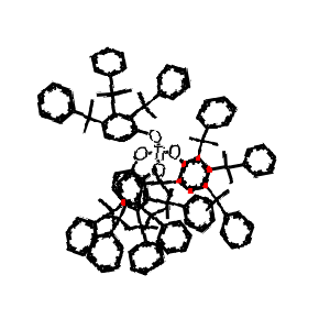 CC(C)(c1ccccc1)c1ccc([O][Ti]([O]c2ccc(C(C)(C)c3ccccc3)c(C(C)(C)c3ccccc3)c2C(C)(C)c2ccccc2)([O]c2ccc(C(C)(C)c3ccccc3)c(C(C)(C)c3ccccc3)c2C(C)(C)c2ccccc2)[O]c2ccc(C(C)(C)c3ccccc3)c(C(C)(C)c3ccccc3)c2C(C)(C)c2ccccc2)c(C(C)(C)c2ccccc2)c1C(C)(C)c1ccccc1